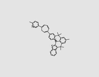 Cc1cc2c3c(c1)C(C)(C)c1c(sc4ccccc14)P3(=S)c1ccc(C3=CCC(c4ccc(C)nc4)=CC=C3)cc1C2(C)C